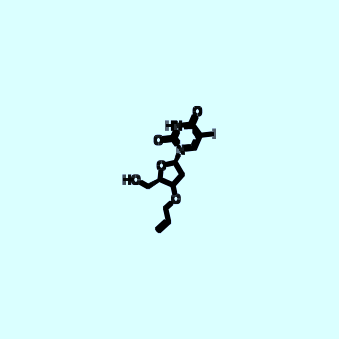 C=CCOC1C[C@H](n2cc(I)c(=O)[nH]c2=O)O[C@@H]1CO